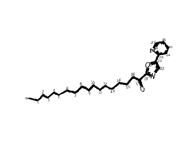 CCCCCCCCCCCCCCCCCC(=O)c1ncc(-c2ccccn2)o1